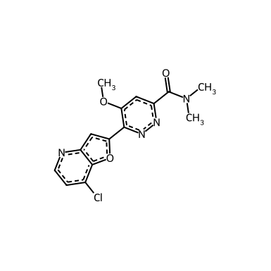 COc1cc(C(=O)N(C)C)nnc1-c1cc2nccc(Cl)c2o1